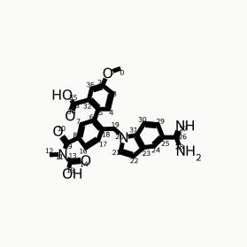 COc1ccc(-c2cc(C(=O)N(C)C(=O)O)ccc2Cn2ccc3cc(C(=N)N)ccc32)c(C(=O)O)c1